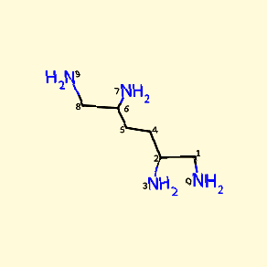 NCC(N)CCC(N)CN